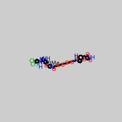 COc1cc2c(cc1OC1CCN(C(=O)CCOCCOCCOCCOCCNc3cccc4c3C(=O)CCC(CC3CCC(=O)NC3=O)C4=O)CC1)C(Nc1ccc(Cl)c(Cl)c1F)=NCN2